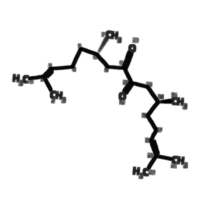 CC(C)=CCC[C@H](C)CC(=O)C(=O)C[C@@H](C)CCC=C(C)C